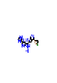 Fc1ccc(-c2cncc3[nH]c(-c4n[nH]c5ncc(-c6cnccn6)cc45)cc23)s1